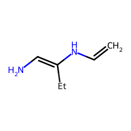 C=CN/C(=C/N)CC